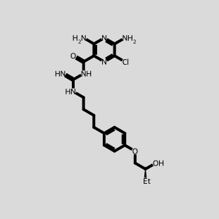 CC[C@H](O)COc1ccc(CCCCNC(=N)NC(=O)c2nc(Cl)c(N)nc2N)cc1